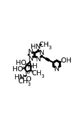 CNC(=O)[C@H]1[C@H](C)[C@H]2C(n3cnc4c(NC)nc(C#Cc5cncc(O)c5)nc43)[C@@]2(O)[C@@H]1O